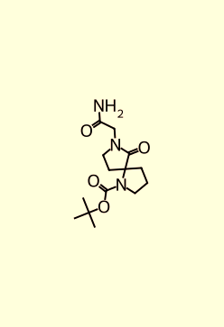 CC(C)(C)OC(=O)N1CCCC12CCN(CC(N)=O)C2=O